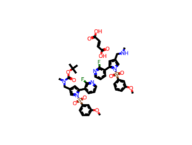 CNCc1cc(-c2cccnc2F)n(S(=O)(=O)c2cccc(OC)c2)c1.COc1cccc(S(=O)(=O)n2cc(CN(C)C(=O)OC(C)(C)C)cc2-c2cccnc2F)c1.O=C(O)/C=C/C(=O)O